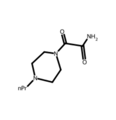 C[CH]CN1CCN(C(=O)C(N)=O)CC1